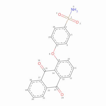 NS(=O)(=O)c1ccc(Oc2cccc3c2C(=O)c2ccccc2C3=O)cc1